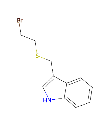 BrCCSCc1c[nH]c2ccccc12